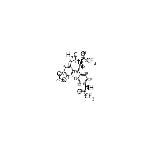 CC1Cc2cc3c(cc2C(c2ccc(NC(=O)C(F)(F)F)cc2)=NN1C(=O)C(F)(F)F)OCO3